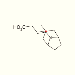 CC1CC2CCC(C1)N2/C=C/CC(=O)O